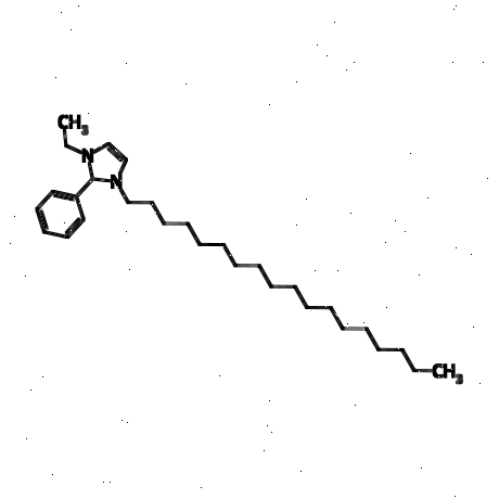 CCCCCCCCCCCCCCCCCCN1C=CN(CC)C1c1ccccc1